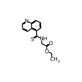 CCOC(=O)CNC(=S)c1cccc2ncccc12